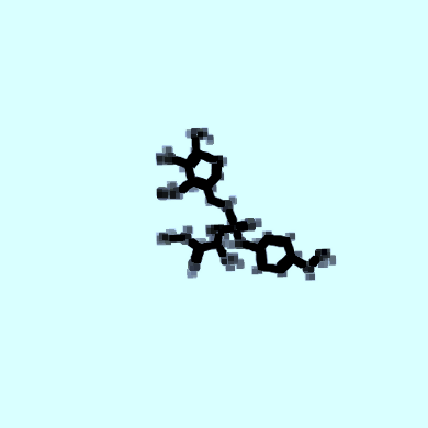 Cc1ncc(COP(=O)(N[C@@H](C)C(=O)OC(C)C)Oc2ccc(OC(F)(F)F)cc2)c(C=O)c1O